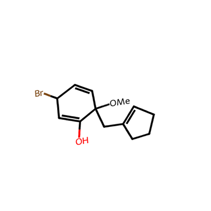 COC1(CC2=CCCC2)C=CC(Br)C=C1O